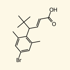 Cc1cc(Br)cc(C)c1C(/C=C/C(=O)O)C(C)(C)C